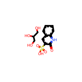 O=c1[nH]c2ccccc2cc1S(=O)(=O)O.OCC(O)CO